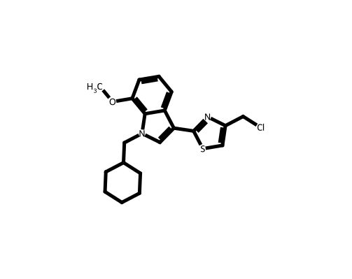 COc1cccc2c(-c3nc(CCl)cs3)cn(CC3CCCCC3)c12